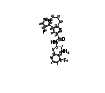 NC[C@H](Cc1cccc(F)c1)NC(=O)c1cc2c(s1)CCCn1ncc(F)c1-2